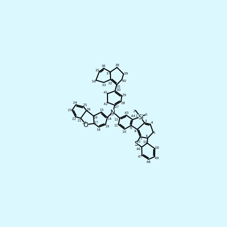 C[Si]1(C)C2=CCC3C(=C2c2ccc(N(C4=CC5C(C=C4)OC4C=CC=CC45)C4=CC=C(C5=C6CCC=CC6CCC5)CC4)cc21)SC1C=CC=CC13